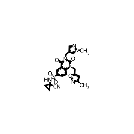 Cc1cc(Cn2c(=O)n(Cc3cnn(C)c3)c(=O)c3cc(S(=O)(=O)NC4(C#N)CC4)ccc32)on1